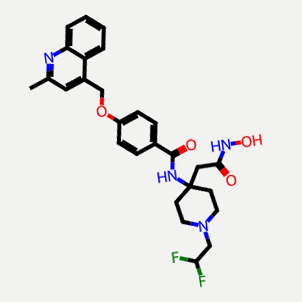 Cc1cc(COc2ccc(C(=O)NC3(CC(=O)NO)CCN(CC(F)F)CC3)cc2)c2ccccc2n1